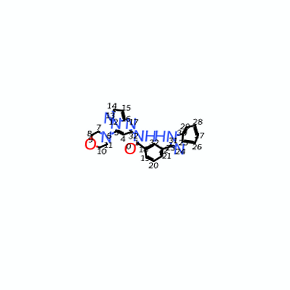 O=C(Nc1cc(N2CCOCC2)n2nccc2n1)c1cccc(-c2nc3ccccc3[nH]2)c1